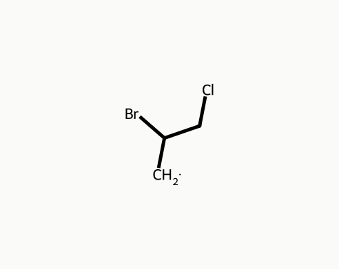 [CH2]C(Br)CCl